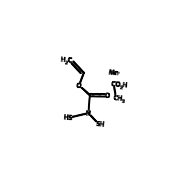 C=COC(=O)N(S)S.CC(=O)O.[Mn]